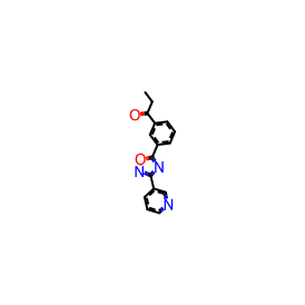 CCC(=O)c1cccc(-c2nc(-c3cccnc3)no2)c1